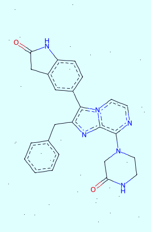 O=C1CN(c2nccn3c(-c4ccc5c(c4)CC(=O)N5)c(Cc4ccccc4)nc23)CCN1